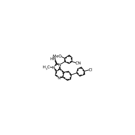 COc1ccc(C#N)cc1-n1c(=N)n(C)c2cnc3ccc(-c4ccc(Cl)cc4)cc3c21